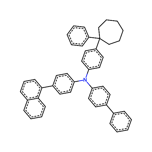 c1ccc(-c2ccc(N(c3ccc(-c4cccc5ccccc45)cc3)c3ccc(C4(c5ccccc5)CCCCCC4)cc3)cc2)cc1